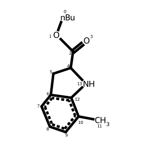 CCCCOC(=O)C1Cc2cccc(C)c2N1